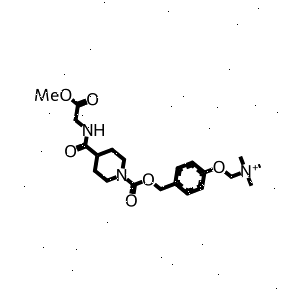 COC(=O)CNC(=O)C1CCN(C(=O)OCc2ccc(OC[N+](C)(C)C)cc2)CC1